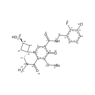 CCCCOc1c2n(cc(C(=O)NCc3cccc(Cl)c3F)c1=O)[C@]1(CN(C)C2=O)C[C@H](C(=O)O)C1